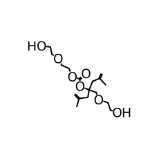 C=C(C)CC(COCCO)(CC(=C)C)OC(=O)OCCOCCO